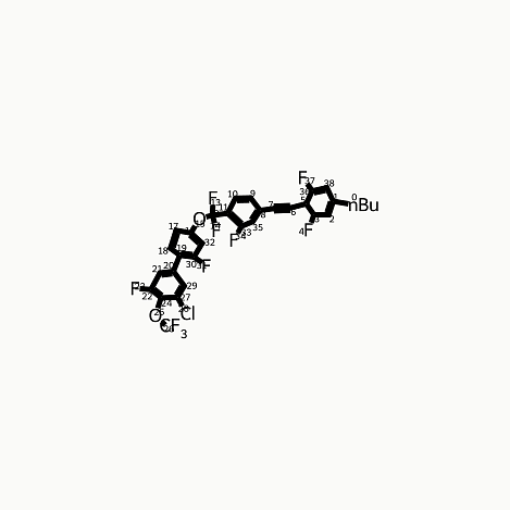 CCCCC1=CC(F)C(C#Cc2ccc(C(F)(F)Oc3ccc(-c4cc(F)c(OC(F)(F)F)c(Cl)c4)c(F)c3)c(F)c2)C(F)=C1